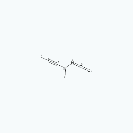 CC#CC(C)N=C=O